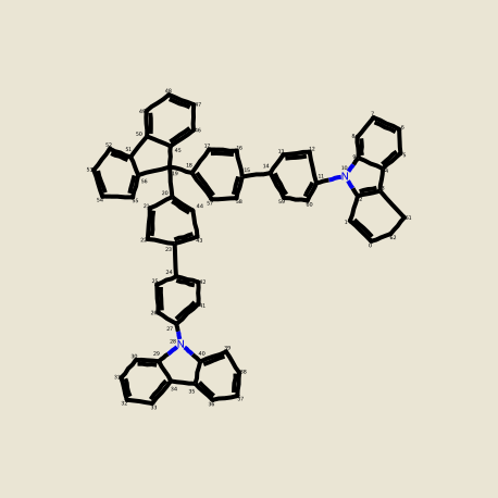 C1=Cc2c(c3ccccc3n2-c2ccc(-c3ccc(C4(c5ccc(-c6ccc(-n7c8ccccc8c8ccccc87)cc6)cc5)c5ccccc5-c5ccccc54)cc3)cc2)CC1